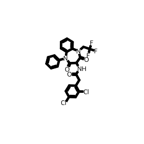 O=C(Cc1ccc(Cl)cc1Cl)NC1C(=O)N(CC(F)(F)F)c2ccccc2N(c2ccccc2)C1=O